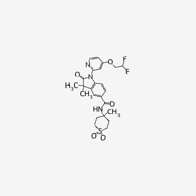 CC1(NC(=O)c2ccc3c(c2)C(C)(C)C(=O)N3c2cc(OCC(F)F)ccn2)CCS(=O)(=O)CC1